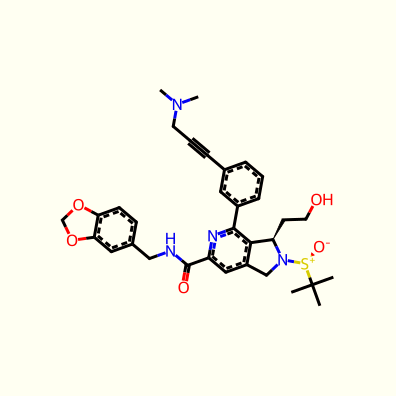 CN(C)CC#Cc1cccc(-c2nc(C(=O)NCc3ccc4c(c3)OCO4)cc3c2[C@@H](CCO)N([S@@+]([O-])C(C)(C)C)C3)c1